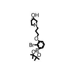 CC1(C)OB(c2cccc(OCCCN3CC[C@@H](O)C3)c2Br)OC1(C)C